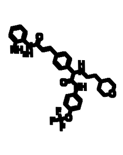 Nc1ccccc1NC(=O)C=Cc1ccc(C(NCCC2CCOCC2)C(=O)Nc2ccc(OC(F)(F)F)cc2)cc1